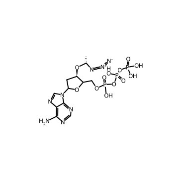 C[C@H](N=[N+]=[N-])O[C@@H]1CC(n2cnc3c(N)ncnc32)OC1COP(=O)(O)OP(=O)(O)OP(=O)(O)O